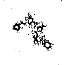 CC1(NC(=O)N[C@H](C(=O)N2CC3C([C@H]2C(=O)NC(CC(F)F)C(=O)NCCc2ccccc2)C3(C)C)C(C)(C)C)CCCCC1